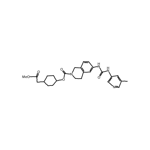 COC(=O)CC1CCC(OC(=O)N2CCc3cc(NC(=O)Nc4cncc(C)c4)ccc3C2)CC1